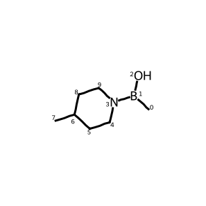 CB(O)N1CCC(C)CC1